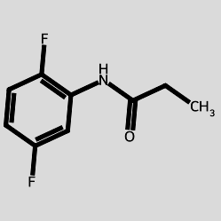 CCC(=O)Nc1cc(F)ccc1F